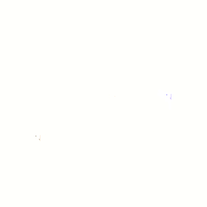 Cc1ncccc1Oc1ccc(C#N)cc1